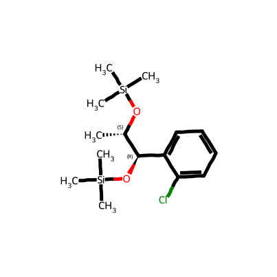 C[C@H](O[Si](C)(C)C)[C@H](O[Si](C)(C)C)c1ccccc1Cl